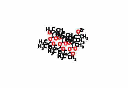 CC(C)(C)C(=O)OC(=O)C(=O)C(C)(C)C.CC(C)(C)C(=O)OC(=O)C(=O)C(C)(C)C.CC(C)(C)C(=O)OC(=O)C(=O)C(C)(C)C.CC(C)[O][Zr]